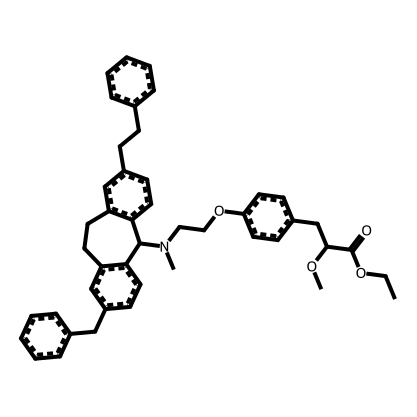 CCOC(=O)C(Cc1ccc(OCCN(C)C2c3ccc(CCc4ccccc4)cc3CCc3cc(Cc4ccccc4)ccc32)cc1)OC